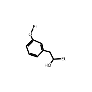 [CH2]CC(O)Cc1cccc(OCC)c1